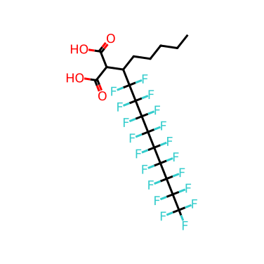 CCCCCC(C(C(=O)O)C(=O)O)C(F)(F)C(F)(F)C(F)(F)C(F)(F)C(F)(F)C(F)(F)C(F)(F)C(F)(F)C(F)(F)F